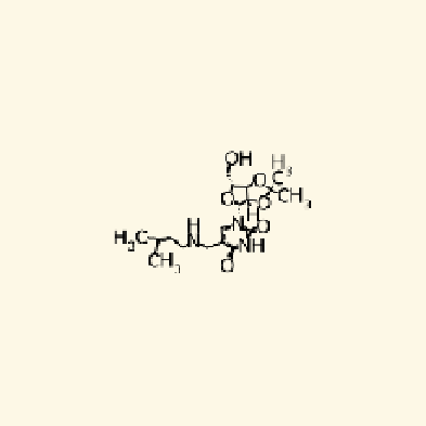 CC(C)=CCNCc1cn([C@@H]2O[C@H](CO)C3OC(C)(C)O[C@@H]32)c(=O)[nH]c1=O